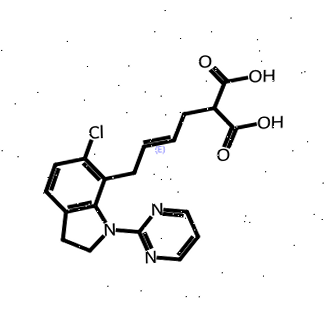 O=C(O)C(C/C=C/Cc1c(Cl)ccc2c1N(c1ncccn1)CC2)C(=O)O